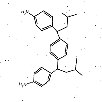 CC(C)CC(c1ccc(N)cc1)c1ccc(C(CC(C)C)c2ccc(N)cc2)cc1